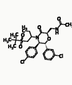 CCC(CS(=O)(=O)C(C)(C)C)N1C(=O)[C@@H](CNC(C)=O)O[C@H](c2cccc(Cl)c2)[C@H]1c1ccc(Cl)cc1